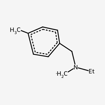 [CH2]N(CC)Cc1ccc(C)cc1